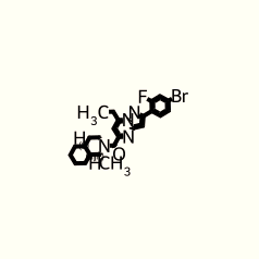 CCc1cc(C(=O)N2CC[C@@H]3CCCC[C@@H]3[C@H]2C)nc2cc(-c3ccc(Br)cc3F)nn12